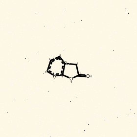 O=C1Cc2cccnc2O1